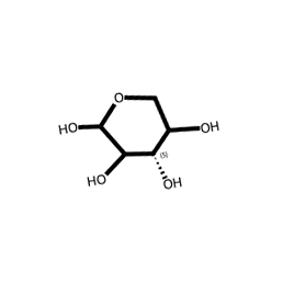 OC1OCC(O)[C@H](O)C1O